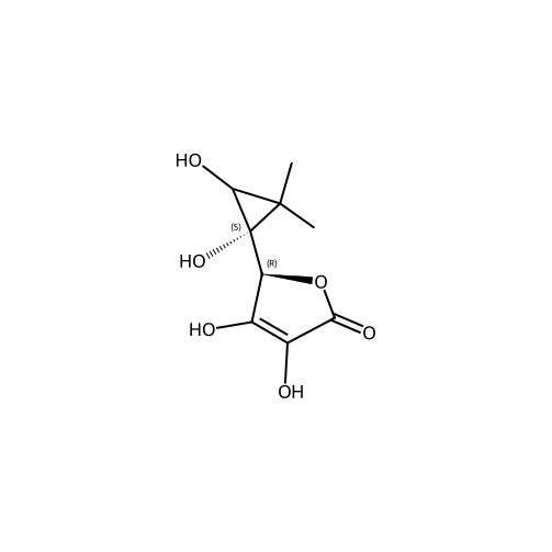 CC1(C)C(O)[C@]1(O)[C@H]1OC(=O)C(O)=C1O